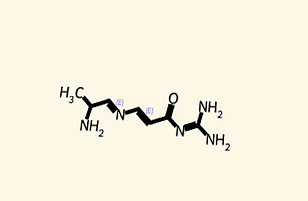 CC(N)/C=N/C=C/C(=O)N=C(N)N